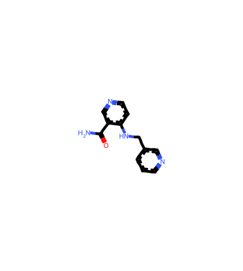 NC(=O)c1cnccc1NCc1cccnc1